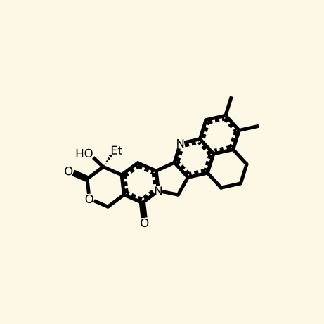 CC[C@@]1(O)C(=O)OCc2c1cc1n(c2=O)Cc2c-1nc1cc(C)c(C)c3c1c2CCC3